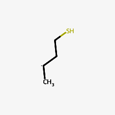 C[CH]CCS